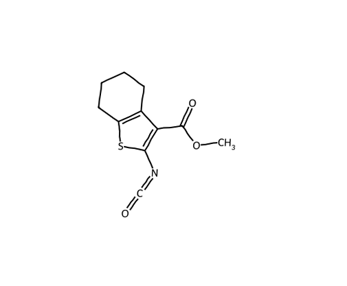 COC(=O)c1c(N=C=O)sc2c1CCCC2